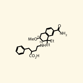 CCC1(CC)c2cc(C(N)=O)ccc2C[C@H](OC)[C@H]1NCCC(Cc1ccccc1)C(=O)O